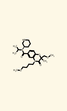 COCCCCN1C(=O)C(C)(COC)Oc2ccc(C(=O)N(C(C)C)[C@@H]3CCCNC3)cc21